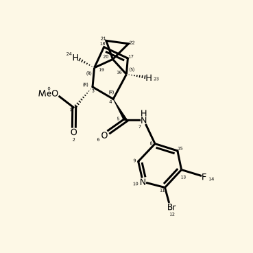 COC(=O)[C@H]1[C@H](C(=O)Nc2cnc(Br)c(F)c2)[C@@H]2C=C[C@H]1C21CC1